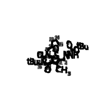 Cc1c(/C=N/NC(=O)OC(C)(C)C)sc2c1c(=O)n(CC(C)(C)C)c(=O)n2CC1CCCO1